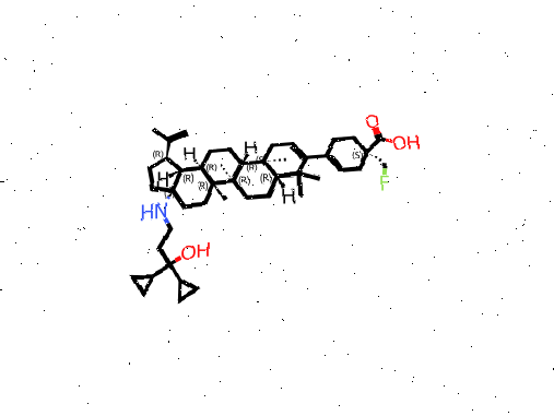 C=C(C)[C@@H]1CC[C@]2(NCCC(O)(C3CC3)C3CC3)CC[C@]3(C)[C@H](CC[C@@H]4[C@@]5(C)CC=C(C6=CC[C@](CF)(C(=O)O)CC6)C(C)(C)[C@@H]5CC[C@]43C)[C@@H]12